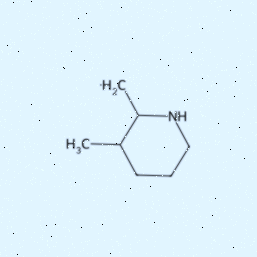 [CH2]C1NCCCC1C